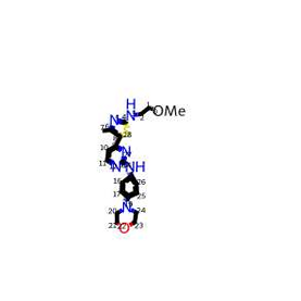 COCCNc1nc(C)c(-c2ccnc(Nc3ccc(N4CCOCC4)cc3)n2)s1